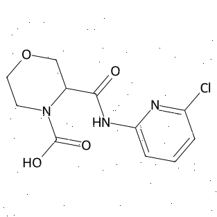 O=C(Nc1cccc(Cl)n1)C1COCCN1C(=O)O